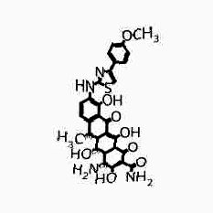 COc1ccc(-c2csc(Nc3ccc4c(c3O)C(=O)C3=C(O)C5C(=O)C(C(N)=O)=C(O)[C@@H](N)C5[C@@H](O)C3[C@H]4C)n2)cc1